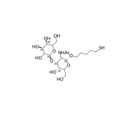 CC(=O)NC1[C@H](OCCCCCS)OC(CO)[C@H](O)[C@@H]1O[C@@H]1OC(CO)[C@H](O)[C@H](O)C1O